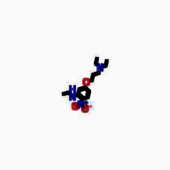 CCNc1cc(OCCCN(CC)CC)ccc1[N+](=O)[O-]